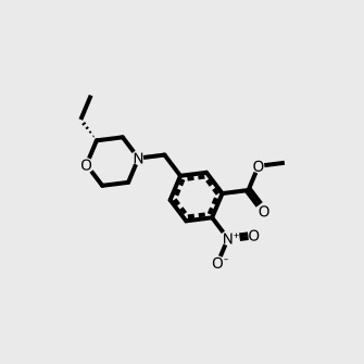 CC[C@@H]1CN(Cc2ccc([N+](=O)[O-])c(C(=O)OC)c2)CCO1